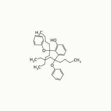 CCCCC(CCCC)(Oc1ccccc1)c1cccc(O)c1C(CCCC)(CCCC)Oc1ccccc1